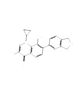 COc1c(-c2ccc3c(c2)CNC3)ccc2c(=O)c(C(=O)O)cn(C3CC3)c12